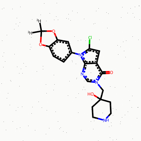 [2H]C1([2H])Oc2ccc(-n3c(Cl)cc4c(=O)n(CC5(O)CCNCC5)cnc43)cc2O1